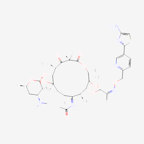 CCC(=O)/N=C1\[C@H](C)C[C@@](C)(O)[C@H](O[C@@H]2O[C@H](C)C[C@H](N(C)C)[C@H]2OC(C)=O)[C@@H](C)C(=O)[C@](C)(F)C(=O)O[C@H](CC)[C@@](C)(O)[C@H](OC/C(CC)=N\OCc2ccc(-c3nc(N)cs3)cn2)[C@H]1C